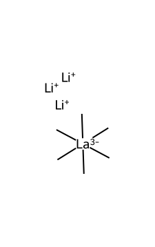 [CH3][La-3]([CH3])([CH3])([CH3])([CH3])[CH3].[Li+].[Li+].[Li+]